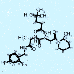 C[C@H](NC(=O)N(CC(=O)N1CCCC[C@@H]1C)NC(=O)CCC(C)(C)C)C(=O)NCc1ccc(F)cc1F